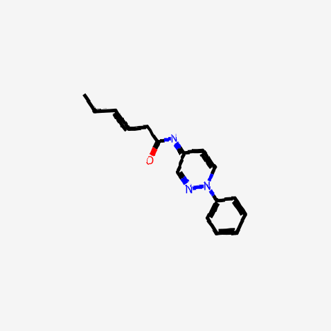 CC/C=C/CC(=O)/N=c1/ccn(-c2ccccc2)nc1